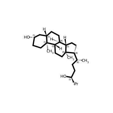 CC(C)[C@@H](O)CC[C@@H](C)[C@H]1CC[C@H]2[C@@H]3CC[C@H]4C[C@@H](O)CC[C@]4(C)[C@H]3CC[C@]12C